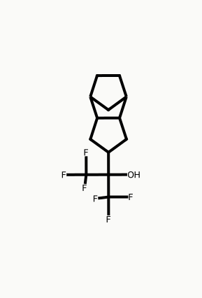 OC(C1CC2C3CCC(C3)C2C1)(C(F)(F)F)C(F)(F)F